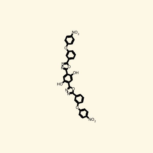 O=[N+]([O-])c1ccc(Oc2cccc(-c3nnc(-c4cc(O)c(-c5nnc(-c6cccc(Oc7ccc([N+](=O)[O-])cc7)c6)o5)cc4O)o3)c2)cc1